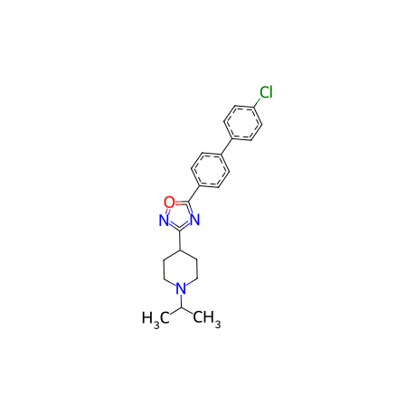 CC(C)N1CCC(c2noc(-c3ccc(-c4ccc(Cl)cc4)cc3)n2)CC1